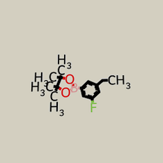 CCc1cc(F)cc(B2OC(C)(C)C(C)(C)O2)c1